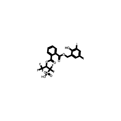 O=C(OCc1cc(I)cc(I)c1O)c1ccccc1C(=O)OC(C(F)(F)F)C(F)(F)S(=O)(=O)O